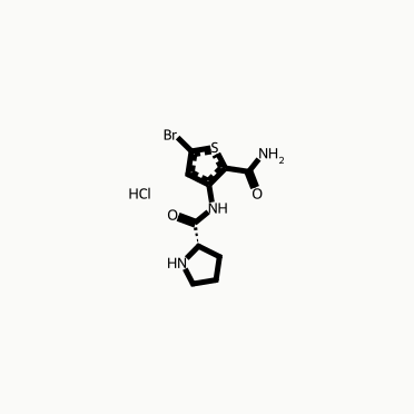 Cl.NC(=O)c1sc(Br)cc1NC(=O)[C@@H]1CCCN1